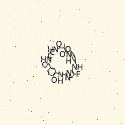 COc1ccc2cc1Nc1ncc(F)c(n1)Nc1ccc3c(c1)NC(=O)C(C)(O3)C(=O)NCCNC2=O